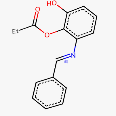 CCC(=O)Oc1c(O)cccc1/N=C/c1ccccc1